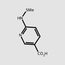 CSNc1ccc(C(=O)O)cn1